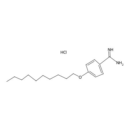 CCCCCCCCCCOc1ccc(C(=N)N)cc1.Cl